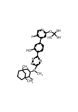 CN(c1cnc(-c2ccc(-c3cc(OC(S)(S)S)ncc3F)cc2O)nn1)[C@@H]1C[C@@]2(C)CCC[C@](C)(C2)[C@@H]1F